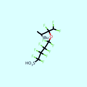 CC(C(C)(C)C)C(F)(OC(F)(F)C(F)(F)C(F)(F)C(F)(F)S(=O)(=O)O)C(F)F